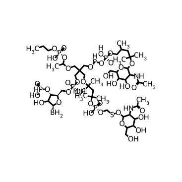 B[C@@H]1O[C@H](COP(=O)(O)OCC(COPOP(=O)(O)OCC(C)CC(C)(C)OC2OC(CO)C(O)C(O)C2NC(C)=O)(COC(C)OP(=O)(O)OCCC)COC(C)(C)CC(C)(C)OP(=O)(O)OCSOC2OC(CO)C(O)C(O)C2NC(C)=O)[C@@H](O[PH](=O)O)C1O